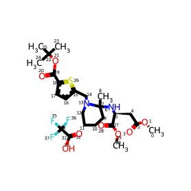 COC(=O)C[C@H](NC1(C)CCCCN1Cc1ccc(C(=O)OC(C)(C)C)s1)C(=O)OC.O=C(O)C(F)(F)F